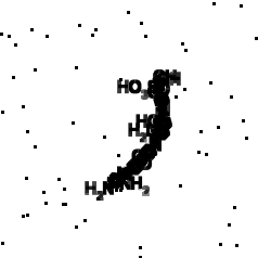 Nc1ccc(N=Nc2ccc(S(=O)(=O)c3ccc(N=Nc4ccc5ccc(/N=N/c6ccc(S(=O)(=O)C(CO)(CO)S(=O)(=O)O)cc6)c(O)c5c4N)cc3)cc2)c(N)c1